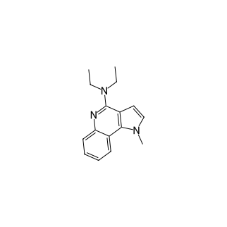 CCN(CC)c1nc2ccccc2c2c1ccn2C